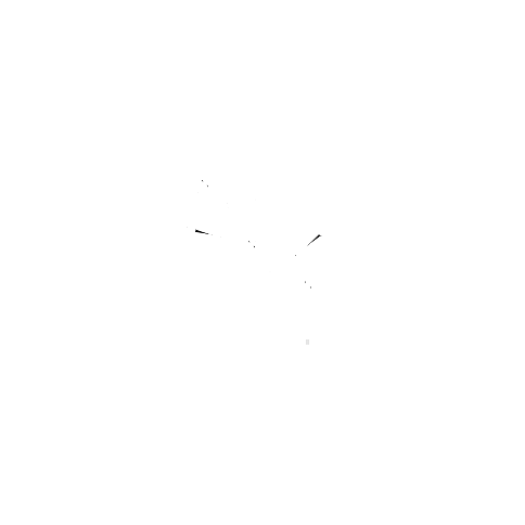 CC(C)CN1CCC[C@@]12CN([C@@](S)(C(N)=O)[C@@H](C)O)C2=O